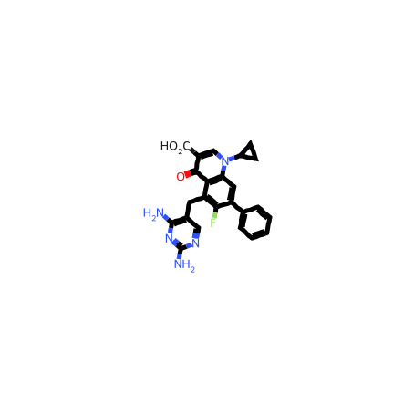 Nc1ncc(Cc2c(F)c(-c3ccccc3)cc3c2c(=O)c(C(=O)O)cn3C2CC2)c(N)n1